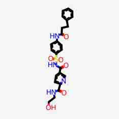 O=C(CCc1ccccc1)Nc1ccc(S(=O)(=O)NC(=O)c2ccc(C(=O)NCCO)nc2)cc1